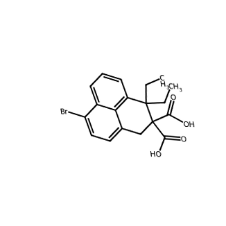 CCC1(CC)c2cccc3c(Br)ccc(c23)CC1(C(=O)O)C(=O)O